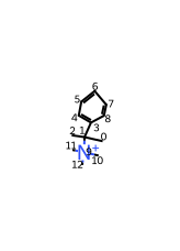 CC(C)(c1ccccc1)[N+](C)(C)C